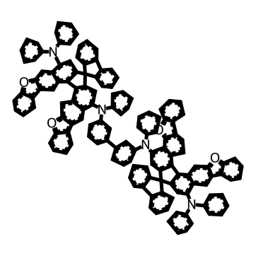 c1ccc(N(c2cccc(-c3cccc(N(c4ccccc4)c4cc5c(c6ccc7c8ccccc8oc7c46)-c4c(cc(N(c6ccccc6)c6ccccc6)c6cc7c(cc46)oc4ccccc47)C54c5ccccc5-c5ccccc54)c3)c2)c2cc3c(c4cc5oc6ccccc6c5cc24)-c2c(cc(N(c4ccccc4)c4ccccc4)c4cc5oc6ccccc6c5cc24)C32c3ccccc3-c3ccccc32)cc1